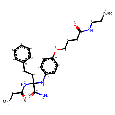 CCCCCCCCCCCCNC(=O)CCCOc1ccc(NC(CCc2ccccc2)(NC(=O)CSC)C(N)=O)cc1